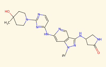 CC(C)n1nc(NC2CNC(=O)C2)c2cnc(Nc3ccnc(N4CCC(C)(O)CC4)n3)cc21